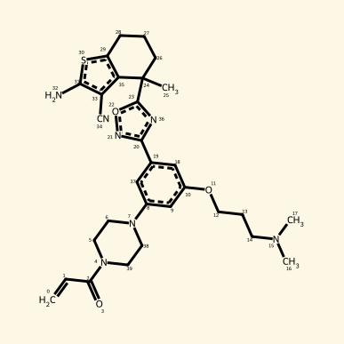 C=CC(=O)N1CCN(c2cc(OCCCN(C)C)cc(-c3noc(C4(C)CCCc5sc(N)c(C#N)c54)n3)c2)CC1